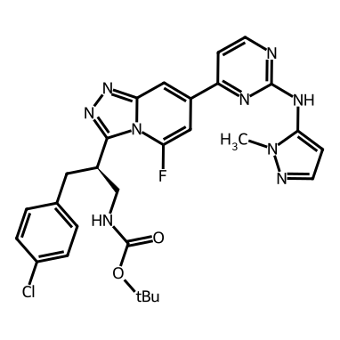 Cn1nccc1Nc1nccc(-c2cc(F)n3c([C@@H](CNC(=O)OC(C)(C)C)Cc4ccc(Cl)cc4)nnc3c2)n1